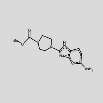 CC(C)(C)OC(=O)N1CCN(c2nc3cc([AsH2])ccc3[nH]2)CC1